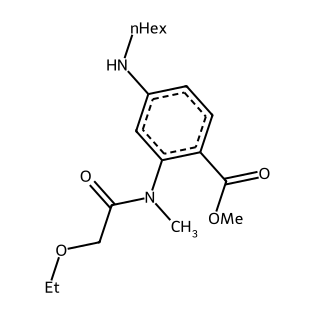 CCCCCCNc1ccc(C(=O)OC)c(N(C)C(=O)COCC)c1